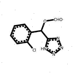 O=[C]OC(c1nnn[nH]1)c1ccccc1Cl